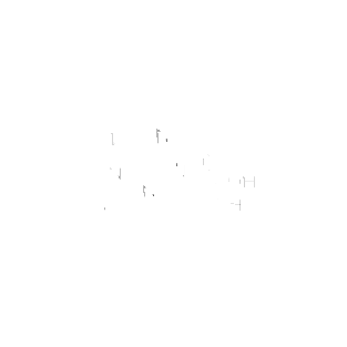 CC(C)(O)Cn1cnc2c(Cl)nc(Cl)nc21